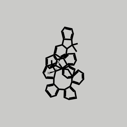 CC1(C)c2ccccc2C2C=CC(N(c3ccccc3)C3(C)C=CC=C4c5ccccc5-c5ccccc5-c5ccccc5CC5(c6ccccc6-c6ccccc65)[C@H]43)=CC21